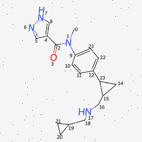 CN(C(=O)c1cn[nH]c1)c1ccc(C2CC2CNCC2CC2)cc1